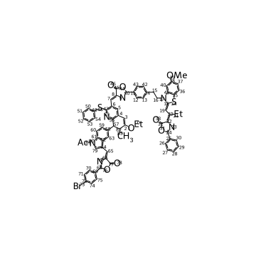 CCOC1=Cc2cc(/C=C3\N=C(c4ccc(CCN5/C(=C/C(CC)=C6/N=C(c7ccccc7)OC6=O)Sc6ccc(OC)cc65)cc4)OC3=O)c(Sc3ccccc3)nc2C(c2ccc3c(c2)c(/C=C2\N=C(c4ccc(Br)cc4)OC2=O)cn3C(C)=O)C1C